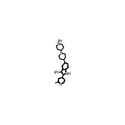 Cc1cc(-c2[nH]c3ccc(C4CCN(C5CCN(C(C)C)CC5)CC4)cc3c2C(C)C)ccn1